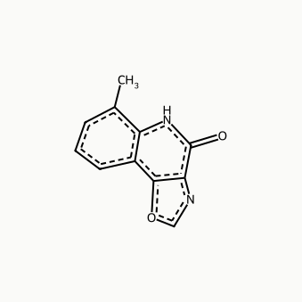 Cc1cccc2c1[nH]c(=O)c1ncoc12